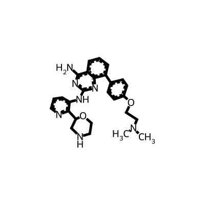 CN(C)CCOc1ccc(-c2cccc3c(N)nc(Nc4cccnc4C4CNCCO4)nc23)cc1